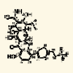 CN(C)[C@@H]1C(O)=C(C(N)=O)C(=O)[C@@]2(O)C(O)=C3C(=O)c4c(O)ccc(C5=CCN(CCC(F)(F)F)CC5)c4C[C@H]3C[C@@H]12